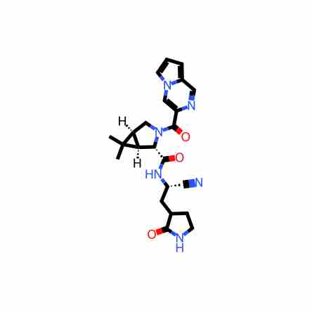 CC1(C)[C@@H]2[C@@H](C(=O)N[C@H](C#N)CC3CCNC3=O)N(C(=O)c3cn4cccc4cn3)C[C@@H]21